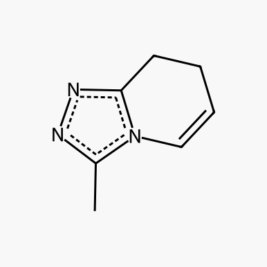 Cc1nnc2n1C=CCC2